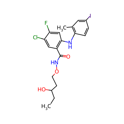 CCC(O)CCONC(=O)c1cc(Cl)c(F)cc1Nc1ccc(I)cc1C